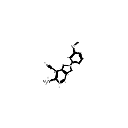 COc1cccc(N2Cc3cnc(N)c(C#N)c3C2)c1